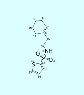 O=S(=O)(NCCC1=CCCCC1)c1cccs1